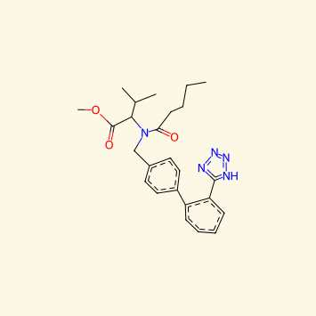 CCCCC(=O)N(Cc1ccc(-c2ccccc2-c2nnn[nH]2)cc1)C(C(=O)OC)C(C)C